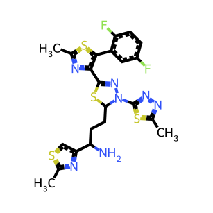 Cc1nc(C(N)CCC2SC(c3nc(C)sc3-c3cc(F)ccc3F)=NN2c2nnc(C)s2)cs1